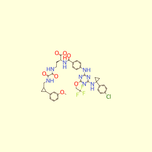 COc1cccc(C2CC2CNC(=O)C(=O)NCC[C@H](NC(=O)c2ccc(Nc3nc(NC4(c5ccc(Cl)cc5)CC4)nc(OCC(F)(F)F)n3)cc2)C(=O)O)c1